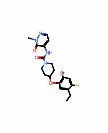 CCc1cc(OC2CCN(C(=O)Nc3ccnn(C)c3=O)CC2)c(Br)cc1F